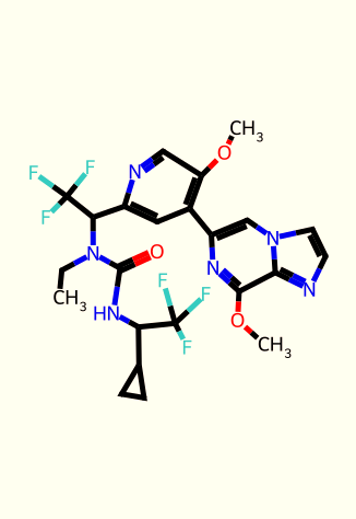 CCN(C(=O)NC(C1CC1)C(F)(F)F)C(c1cc(-c2cn3ccnc3c(OC)n2)c(OC)cn1)C(F)(F)F